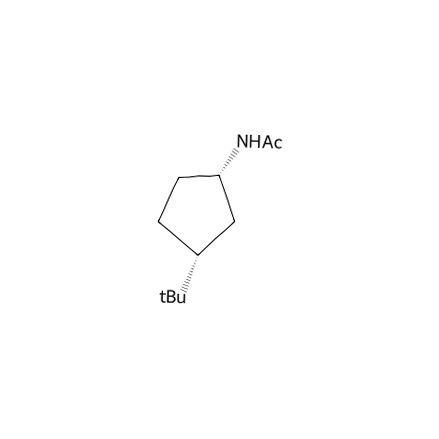 CC(=O)N[C@H]1CC[C@@H](C(C)(C)C)C1